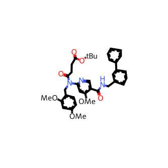 COc1ccc(CN(C(=O)CCC(=O)OC(C)(C)C)c2cc(OC)c(C(=O)NCc3cccc(-c4ccccc4)c3)cn2)c(OC)c1